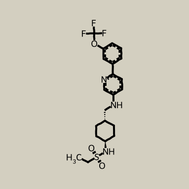 CCS(=O)(=O)N[C@H]1CC[C@H](CNc2ccc(-c3cccc(OC(F)(F)F)c3)nc2)CC1